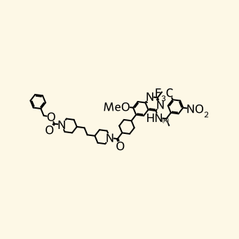 COc1cc2nc(C)nc(N[C@H](C)c3cc([N+](=O)[O-])cc(C(F)(F)F)c3)c2cc1C1CCC(C(=O)N2CCC(CCC3CCN(C(=O)OCc4ccccc4)CC3)CC2)CC1